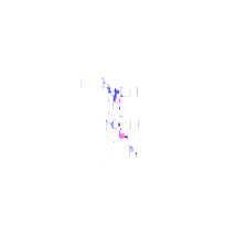 Cc1c(NC(=O)c2nc3c(n2C)CCN(C)C3)cccc1-c1cncc(-c2nc3cc(CN4CCC(C(=O)O)C4)cc(Cl)c3o2)c1C